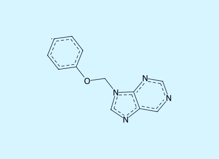 [c]1ccc(OCn2cnc3cncnc32)cc1